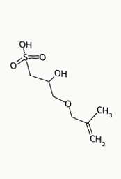 C=C(C)COCC(O)CS(=O)(=O)O